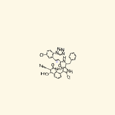 N#Cc1c(O)c2cccc(-c3nc(C(Cc4ccccc4)NC(=O)/C=C/c4cc(Cl)ccc4-n4cnnn4)[nH]c3Cl)c2[nH]c1=O